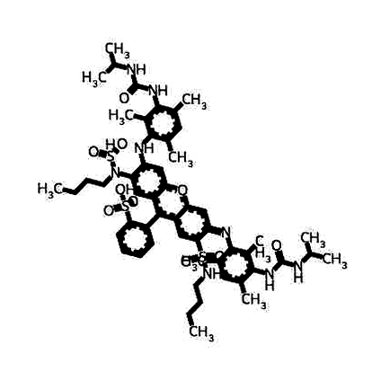 CCCCNS(=O)(=O)c1cc2c(-c3ccccc3S(=O)(=O)O)c3cc(N(CCCC)[SH](=O)=O)c(Nc4c(C)cc(C)c(NC(=O)NC(C)C)c4C)cc3oc-2c/c1=N/c1c(C)cc(C)c(NC(=O)NC(C)C)c1C